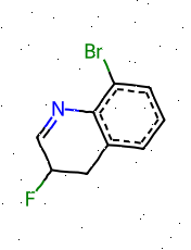 FC1C=Nc2c(Br)cccc2C1